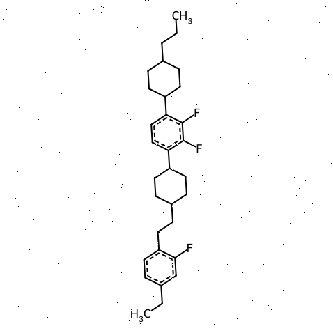 CCCC1CCC(c2ccc(C3CCC(CCc4ccc(CC)cc4F)CC3)c(F)c2F)CC1